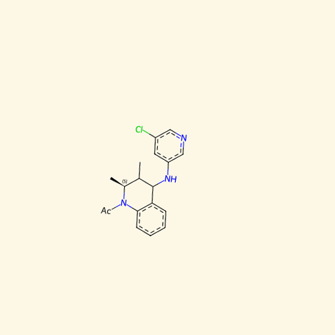 CC(=O)N1c2ccccc2C(Nc2cncc(Cl)c2)C(C)[C@@H]1C